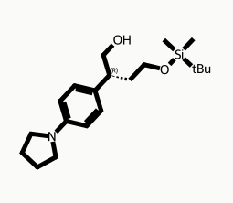 CC(C)(C)[Si](C)(C)OCC[C@@H](CO)c1ccc(N2CCCC2)cc1